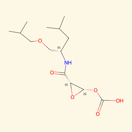 CC(C)COC[C@H](CC(C)C)NC(=O)[C@H]1O[C@H]1OC(=O)O